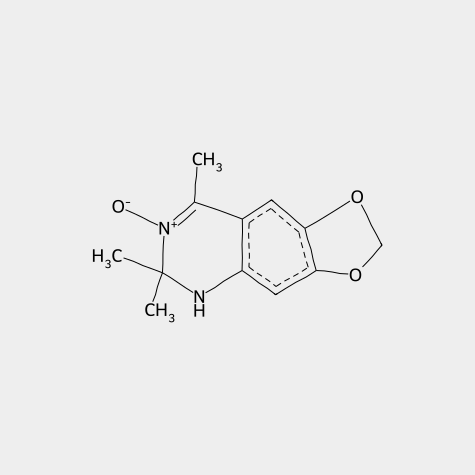 CC1=[N+]([O-])C(C)(C)Nc2cc3c(cc21)OCO3